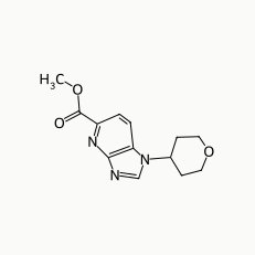 COC(=O)c1ccc2c(ncn2C2CCOCC2)n1